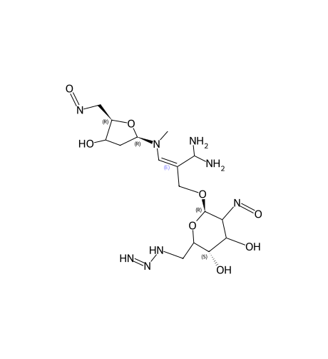 CN(/C=C(/CO[C@@H]1OC(CNN=N)[C@@H](O)C(O)C1N=O)C(N)N)[C@H]1CC(O)[C@@H](CN=O)O1